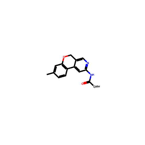 COC(=O)Nc1cc2c(cn1)COc1cc(C)ccc1-2